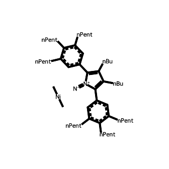 CCCCCc1cc(C2=C(CCCC)C(CCCC)=C(c3cc(CCCCC)c(CCCCC)c(CCCCC)c3)[N+]2=[N-])cc(CCCCC)c1CCCCC.[CH3][Ni][CH3]